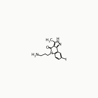 Cc1[nH]nc2c1c(=O)n(CCCN)c1ccc(I)cc21